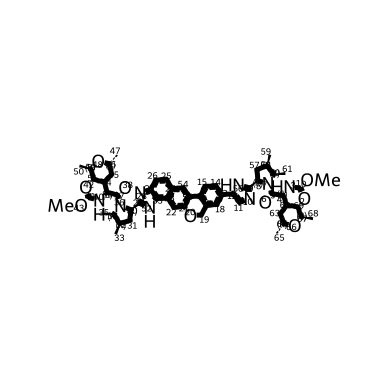 COC(=O)N[C@H](C(=O)N1[C@@H](c2ncc(-c3ccc4c(c3)COc3cc5c(ccc6nc([C@H]7C[C@@H](C)[C@@H](C)N7C(=O)[C@@H](NC(=O)OC)C7C[C@@H](C)O[C@H](C)C7)[nH]c65)cc3-4)[nH]2)C[C@@H](C)[C@H]1C)C1C[C@@H](C)O[C@H](C)C1